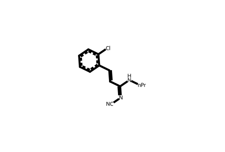 CCCNC(/C=C/c1ccccc1Cl)=N/C#N